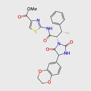 COC(=O)c1csc(NC(=O)[C@H]([C@@H](C)c2ccccc2)N2C(=O)NC(c3ccc4c(c3)OCCO4)C2=O)n1